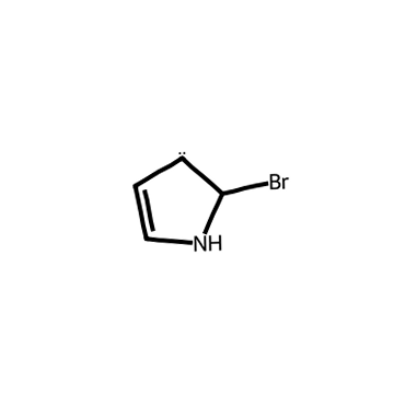 BrC1[C]C=CN1